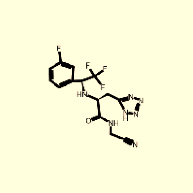 N#CCNC(=O)[C@H](Cc1nnn[nH]1)N[C@@H](c1cccc(F)c1)C(F)(F)F